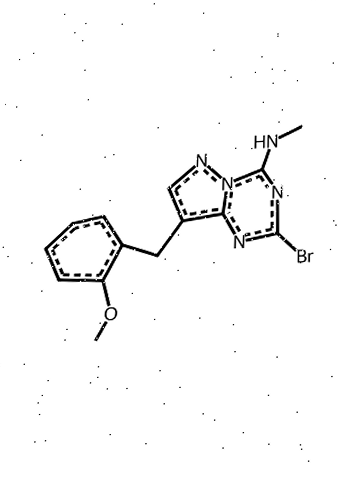 CNc1nc(Br)nc2c(Cc3ccccc3OC)cnn12